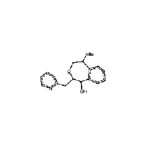 CCCCC1COC(Cc2ccccn2)C(O)c2ccccc21